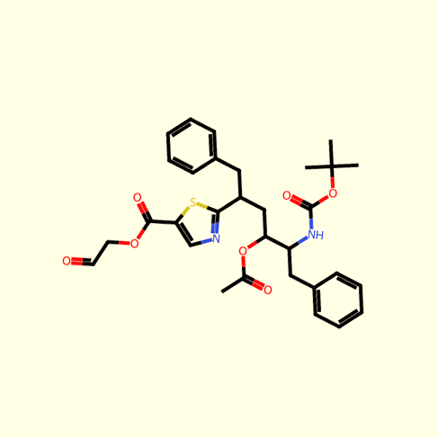 CC(=O)OC(CC(Cc1ccccc1)c1ncc(C(=O)OCC=O)s1)C(Cc1ccccc1)NC(=O)OC(C)(C)C